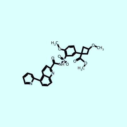 COC(=O)C1(c2ccc(OC)c(S(=O)(=O)NC(=O)c3ccc4c(-c5ccccn5)cccc4n3)c2)CC(OC)C1